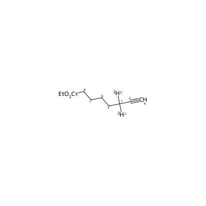 [2H]C([2H])(C#C)CCCCC(=O)OCC